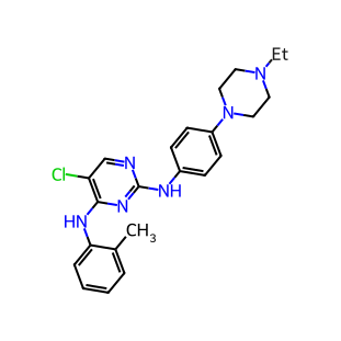 CCN1CCN(c2ccc(Nc3ncc(Cl)c(Nc4ccccc4C)n3)cc2)CC1